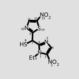 CCn1c([N+](=O)[O-])cnc1C(S)c1ncc([N+](=O)[O-])s1